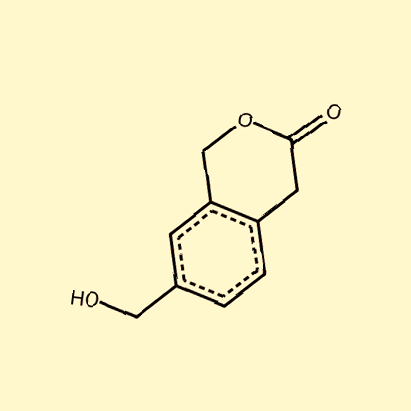 O=C1Cc2ccc(CO)cc2CO1